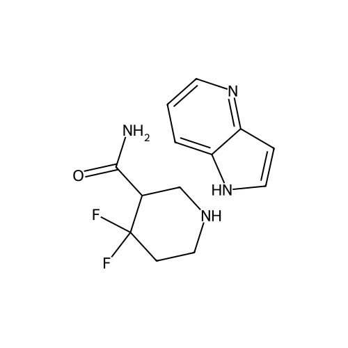 NC(=O)C1CNCCC1(F)F.c1cnc2cc[nH]c2c1